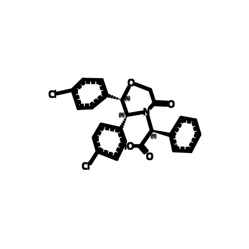 O=C(O)[C@H](c1ccccc1)N1C(=O)CO[C@@H](c2ccc(Cl)cc2)[C@H]1c1ccc(Cl)cc1